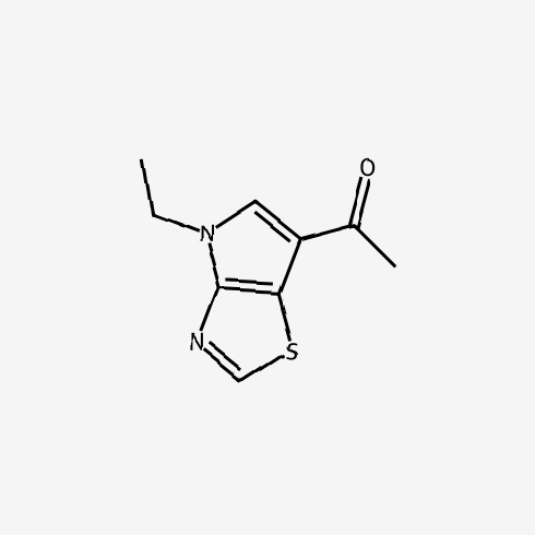 CCn1cc(C(C)=O)c2scnc21